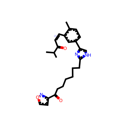 Cc1ccc(-c2c[nH]c(CCCCCCC(=O)c3ccon3)n2)cc1/C=C\C(=O)C(C)C